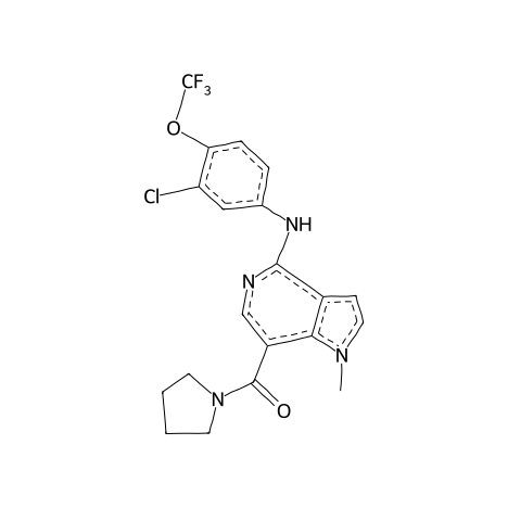 Cn1ccc2c(Nc3ccc(OC(F)(F)F)c(Cl)c3)ncc(C(=O)N3CCCC3)c21